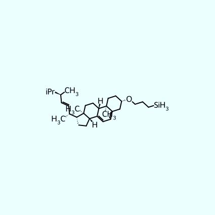 CC(C)[C@@H](C)/C=C/[C@@H](C)[C@H]1CC[C@H]2C3=CC=C4C[C@@H](OCCC[SiH3])CC[C@]4(C)[C@H]3CC[C@]12C